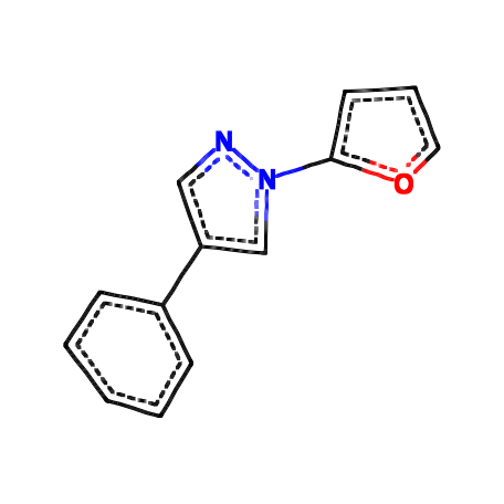 c1ccc(-c2cnn(-c3ccco3)c2)cc1